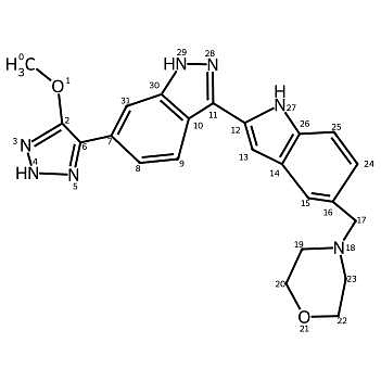 COc1n[nH]nc1-c1ccc2c(-c3cc4cc(CN5CCOCC5)ccc4[nH]3)n[nH]c2c1